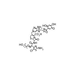 CC(C)(O/N=C(\C(=O)N[C@@H]1C(=O)N2C(C(=O)O)=C(CN3C=C(NCCNC(=O)c4cc(=O)c(O)cn4O)C(N)=NC3)CSC12)c1nc(N)sc1Cl)C(=O)O